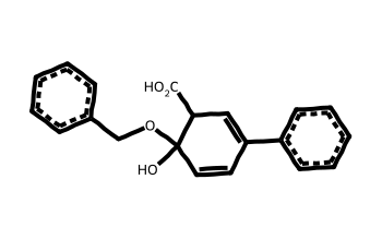 O=C(O)C1C=C(c2ccccc2)C=CC1(O)OCc1ccccc1